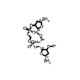 B[C@H]1CC(OC(C)C)[C@@H](COP(=O)(OC)OCSP(=O)(O)OC2C[C@H](B)O[C@@H]2COC(C)C)O1